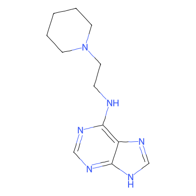 c1nc(NCCN2CCCCC2)c2nc[nH]c2n1